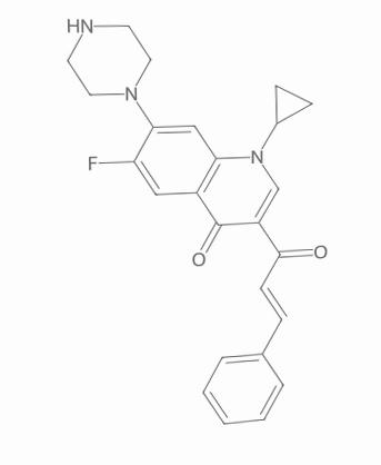 O=C(/C=C/c1ccccc1)c1cn(C2CC2)c2cc(N3CCNCC3)c(F)cc2c1=O